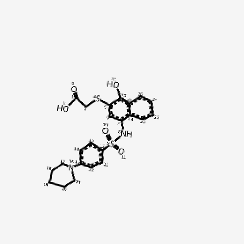 O=C(O)CSc1cc(NS(=O)(=O)c2ccc(N3CCCCC3)cc2)c2ccccc2c1O